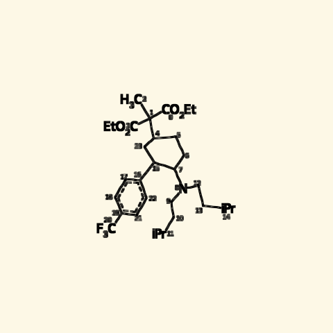 CCOC(=O)C(C)(C(=O)OCC)C1CCC(N(CCC(C)C)CCC(C)C)C(c2ccc(C(F)(F)F)cc2)C1